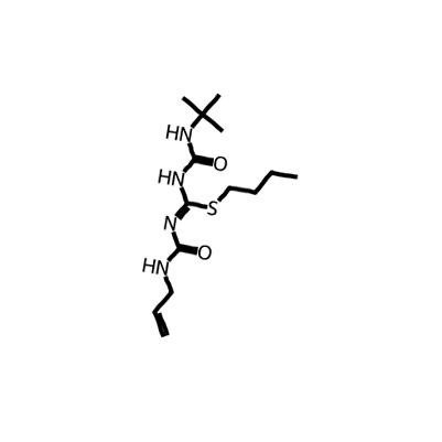 C=CCNC(=O)N=C(NC(=O)NC(C)(C)C)SCCCC